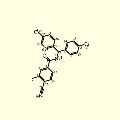 Cc1cc(C(=O)NC(c2ccc(Cl)cc2)c2ccc(Cl)cn2)ccc1C#N